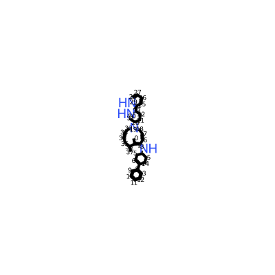 C/C1=C(NC2CC=C(c3ccccc3)CC2)\C=C/CN(C2CCC(C3C=CC=CN3)NC2)C/C=C\CC1C